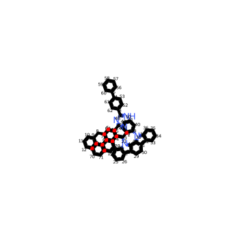 CN(C/C(=C(\C=C/CCc1ccccc1)c1ccccc1)n1c2ccccc2c2ccc3c4ccccc4n(-c4ccccc4)c3c21)/C(=N\C(=N)c1ccc(-c2ccccc2)cc1)c1ccc(-c2ccccc2)cc1